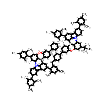 Cc1cc(C)c(-c2cc3c4c(c2)-n2c5ccc(-c6c(C)cc(C)cc6C)cc5c5cc(-c6c(C)cc(C)cc6Cc6ccc(-c7ccc8c(c7)Oc7cc(C(C)(C)C)cc9c7B8c7cc(-c8c(C)cc(C)cc8C)cc8c%10cc(-c%11c(C)cc(C)cc%11C)ccc%10n-9c78)cc6)cc(c52)B4c2ccc(-c4ccccc4)cc2O3)c(C)c1